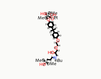 CCCCN(CCC[Si](O)(OC)OC)CC(O)COCCOc1ccc(C(C)(C)c2ccc(OC(O)(OCC)[Si](O)(OC)OC)cc2)cc1